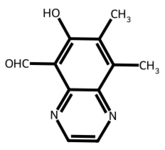 Cc1c(O)c(C=O)c2nccnc2c1C